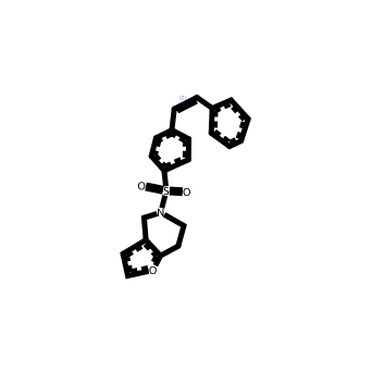 O=S(=O)(c1ccc(/C=C\c2ccccc2)cc1)N1CCc2occc2C1